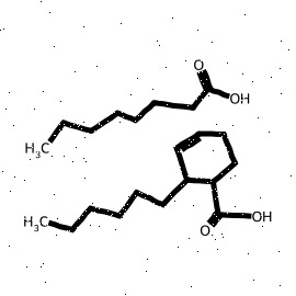 CCCCCCC1C=CCCC1C(=O)O.CCCCCCCC(=O)O